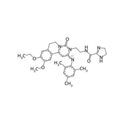 CCOc1cc2c(cc1OC)-c1c/c(=N\c3c(C)cc(C)cc3C)n(CCNC(=O)C3=NCCN3)c(=O)n1CC2